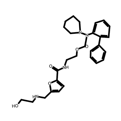 O=C(NCCOC(=O)N(c1ccccc1-c1ccccc1)N1CC[CH]CC1)c1ccc(CNCCO)o1